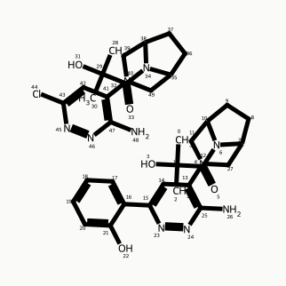 CC(C)(O)C(=O)N1C2CCC1CN(c1cc(-c3ccccc3O)nnc1N)C2.CC(C)(O)C(=O)N1C2CCC1CN(c1cc(Cl)nnc1N)C2